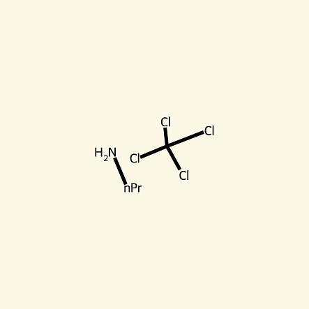 CCCN.ClC(Cl)(Cl)Cl